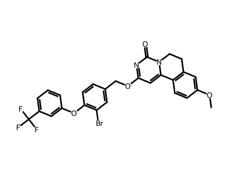 COc1ccc2c(c1)CCn1c-2cc(OCc2ccc(Oc3cccc(C(F)(F)F)c3)c(Br)c2)nc1=O